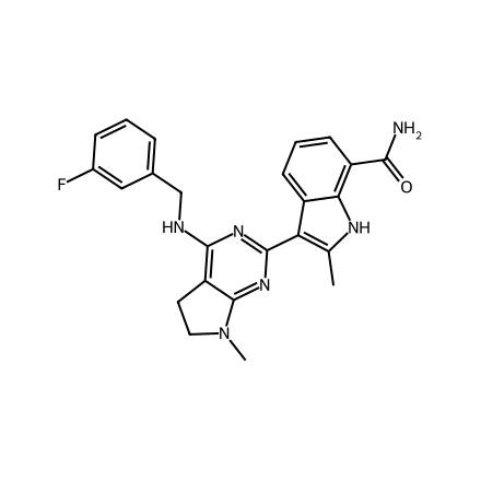 Cc1[nH]c2c(C(N)=O)cccc2c1-c1nc(NCc2cccc(F)c2)c2c(n1)N(C)CC2